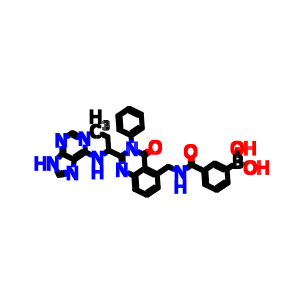 CCC(Nc1ncnc2[nH]cnc12)c1nc2cccc(CNC(=O)c3cccc(B(O)O)c3)c2c(=O)n1-c1ccccc1